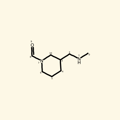 CNCC1CCCN(C=O)C1